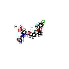 COC(=O)c1ccc(NC(=O)Cc2ccc(-c3cccc4c3OC(C)(c3ccc(Cl)cc3F)O4)c(F)c2)c(NCc2cnco2)c1